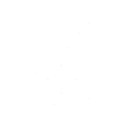 CC(C)(C)CN1CCN(CC(=O)NCCNC(=O)C(C)(C)C)CCN(CC(=O)OC(C)(C)C)CCN(CC(C)(C)C)CC1